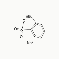 CCCCc1ccccc1S(=O)(=O)[O-].[Na+]